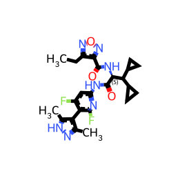 CCc1nonc1C(=O)N[C@H](C(=O)Nc1cc(F)c(-c2c(C)n[nH]c2C)c(F)n1)C(C1CC1)C1CC1